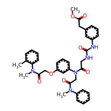 COC(=O)Cc1cccc(NC(=O)NCC(=O)N(CC(=O)N(C)c2ccccc2)c2cccc(OCC(=O)N(C)c3ccccc3C)c2)c1